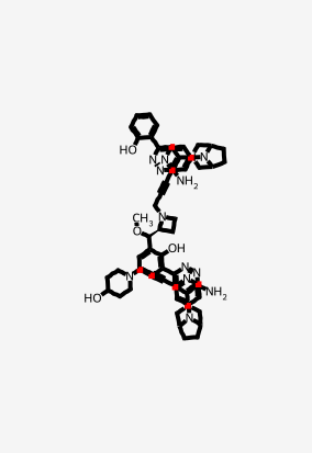 COC(c1cccc(-c2cc(N3CC4CCC(C3)N4c3ccnc(C#CCN4CCC(O)CC4)c3)c(N)nn2)c1O)[C@@H]1CCN1CC#Cc1cc(N2C3CCC2CN(c2cc(-c4ccccc4O)nnc2N)C3)ccn1